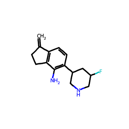 C=C1CCc2c1ccc(C1CNCC(F)C1)c2N